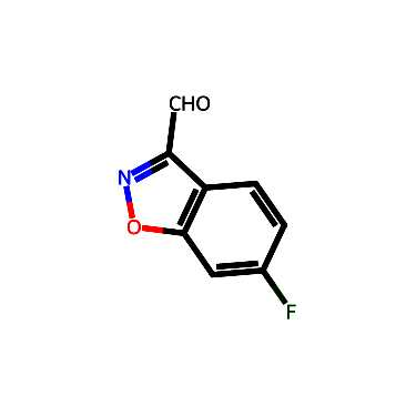 O=Cc1noc2cc(F)ccc12